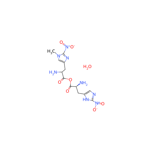 Cn1cc(CC(N)C(=O)OC(=O)[C@@H](N)Cc2cnc([N+](=O)[O-])[nH]2)nc1[N+](=O)[O-].O